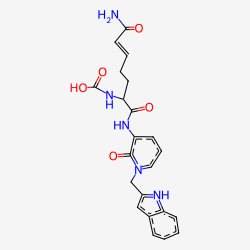 NC(=O)C=CCCC(NC(=O)O)C(=O)Nc1cccn(Cc2cc3ccccc3[nH]2)c1=O